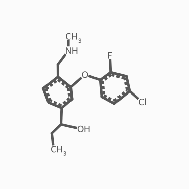 CCC(O)c1ccc(CNC)c(Oc2ccc(Cl)cc2F)c1